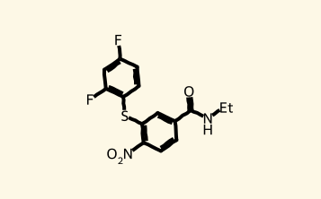 CCNC(=O)c1ccc([N+](=O)[O-])c(Sc2ccc(F)cc2F)c1